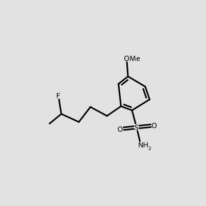 COc1ccc(S(N)(=O)=O)c(CCCC(C)F)c1